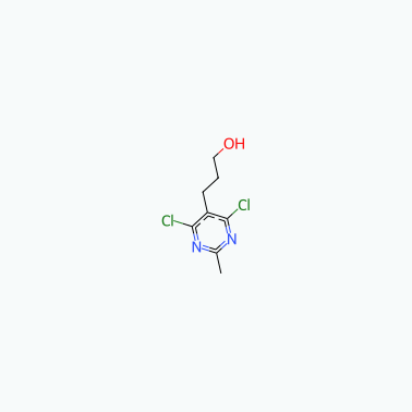 Cc1nc(Cl)c(CCCO)c(Cl)n1